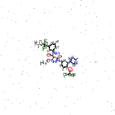 CC1=NN(c2ccc(OC(F)F)c(-c3cnccn3)c2)C(=O)C1C(=O)Nc1cccc(C(C)(F)F)c1